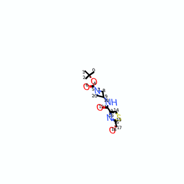 CC(C)(C)OC(=O)N1CC(NC(=O)c2csc(C=O)n2)C1